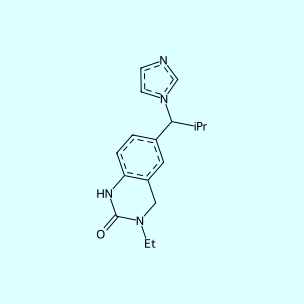 CCN1Cc2cc(C(C(C)C)n3ccnc3)ccc2NC1=O